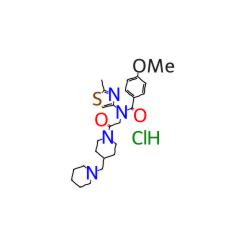 COc1ccc(C(=O)N(CC(=O)N2CCC(CN3CCCCC3)CC2)c2csc(C)n2)cc1.Cl